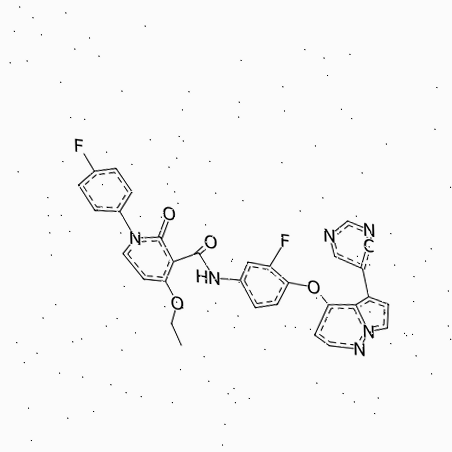 CCOc1ccn(-c2ccc(F)cc2)c(=O)c1C(=O)Nc1ccc(Oc2ccnn3ccc(-c4cncnc4)c23)c(F)c1